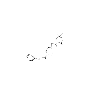 CC(C)[C@@H]1N(C(=O)[C@@H](F)C2CCN(C(=O)OCc3ccccc3)CC2)C(=O)OC1(C)C